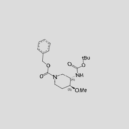 CO[C@H]1CCN(C(=O)OCc2ccccc2)C[C@@H]1NC(=O)OC(C)(C)C